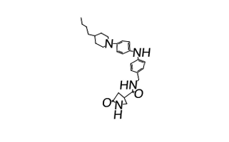 CCCCC1CCN(c2ccc(Nc3ccc(CNC(=O)C4CNC(=O)C4)cc3)cc2)CC1